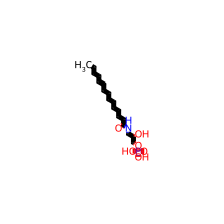 CCCCC=CCCCCCCCCC(=O)NCC(O)COP(=O)(O)O